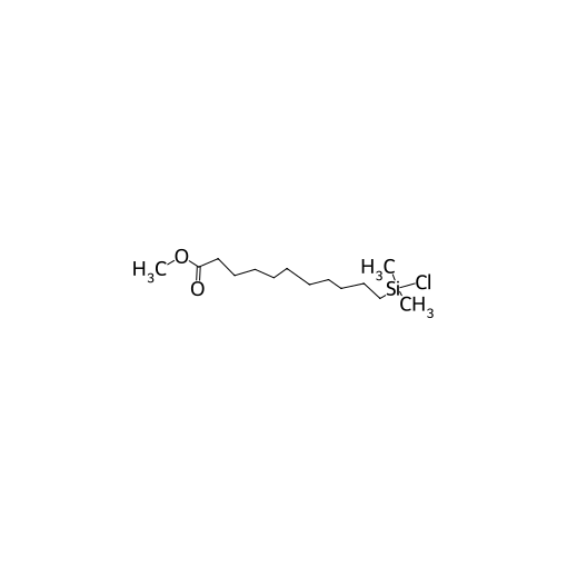 COC(=O)CCCCCCCCCC[Si](C)(C)Cl